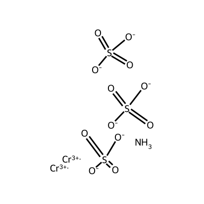 N.O=S(=O)([O-])[O-].O=S(=O)([O-])[O-].O=S(=O)([O-])[O-].[Cr+3].[Cr+3]